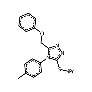 Cc1ccc(-n2c(COc3ccccc3)nnc2SC(C)C)cc1